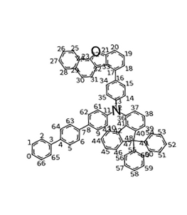 c1ccc(-c2ccc(-c3ccc(N(c4ccc(-c5cccc6oc7c8ccccc8ccc7c56)cc4)c4cccc5c4-c4ccccc4C5(c4ccccc4)c4ccccc4)cc3)cc2)cc1